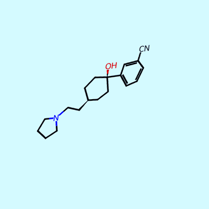 N#Cc1cccc([C@]2(O)CC[C@@H](CCN3CCCC3)CC2)c1